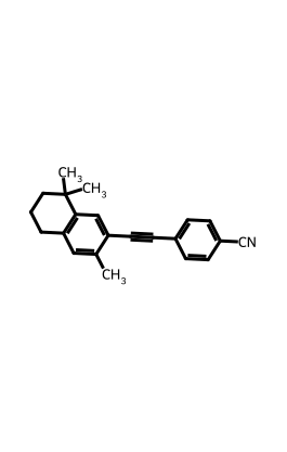 Cc1cc2c(cc1C#Cc1ccc(C#N)cc1)C(C)(C)CCC2